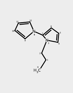 CCCn1cccc1-n1cccc1